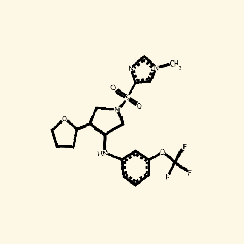 Cn1cnc(S(=O)(=O)N2CC(Nc3cccc(OC(F)(F)F)c3)C(C3CCCO3)C2)c1